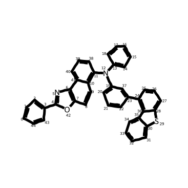 c1ccc(-c2nc3c(ccc4c(N(c5ccccc5)c5cccc(-c6cccc7sc8ccccc8c67)c5)cccc43)o2)cc1